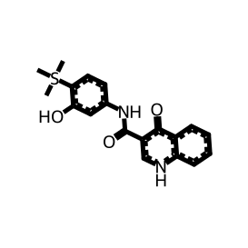 CS(C)(C)c1ccc(NC(=O)c2c[nH]c3ccccc3c2=O)cc1O